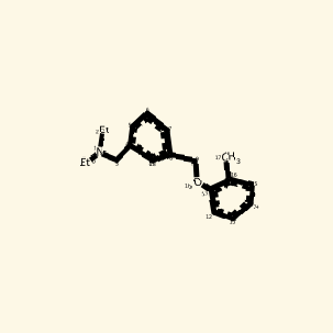 CCN(CC)Cc1cccc(COc2ccccc2C)c1